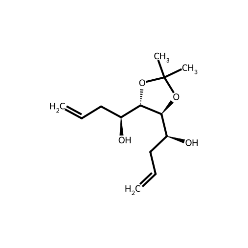 C=CC[C@H](O)[C@@H]1OC(C)(C)O[C@H]1[C@@H](O)CC=C